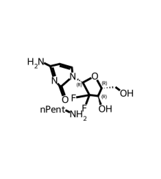 CCCCCN.Nc1ccn([C@@H]2O[C@H](CO)[C@@H](O)C2(F)F)c(=O)n1